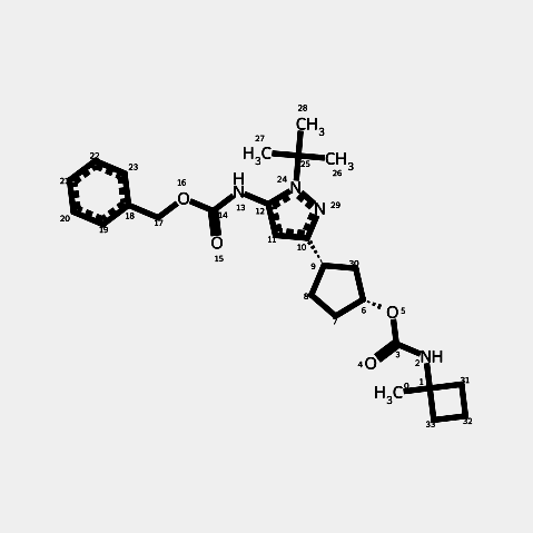 CC1(NC(=O)O[C@@H]2CC[C@H](c3cc(NC(=O)OCc4ccccc4)n(C(C)(C)C)n3)C2)CCC1